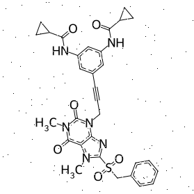 Cn1c(=O)c2c(nc(S(=O)(=O)Cc3ccccc3)n2C)n(CC#Cc2cc(NC(=O)C3CC3)cc(NC(=O)C3CC3)c2)c1=O